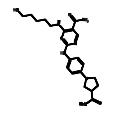 CNC(=O)C1CCN(c2ccc(Nc3ncc(C(N)=O)c(NCCCCCO)n3)cc2)C1